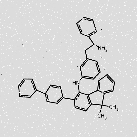 CC1(C)c2ccccc2-c2c1ccc(-c1ccc(-c3ccccc3)cc1)c2Nc1cccc(C[C@@H](N)c2ccccc2)c1